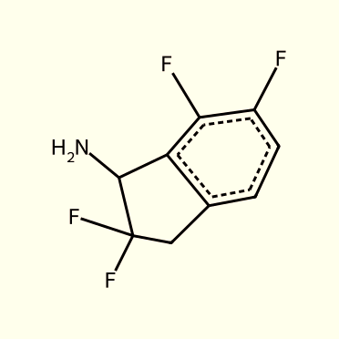 NC1c2c(ccc(F)c2F)CC1(F)F